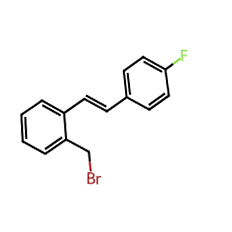 Fc1ccc(/C=C/c2ccccc2CBr)cc1